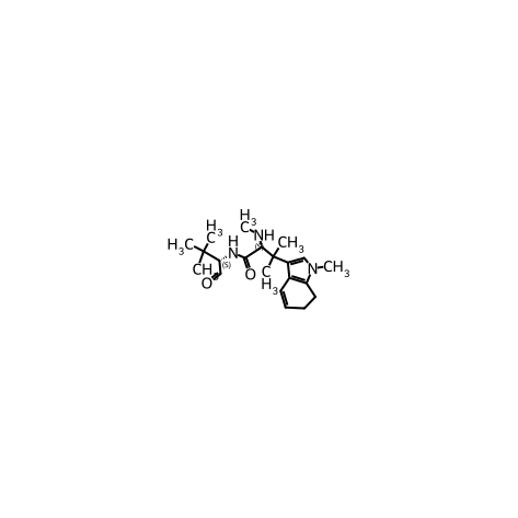 CN[C@H](C(=O)N[C@H](C=O)C(C)(C)C)C(C)(C)c1cn(C)c2c1C=CCC2